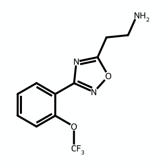 NCCc1nc(-c2ccccc2OC(F)(F)F)no1